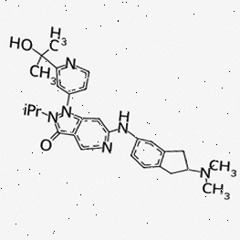 CC(C)n1c(=O)c2cnc(Nc3ccc4c(c3)CC(N(C)C)C4)cc2n1-c1ccnc(C(C)(C)O)c1